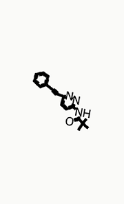 CC(C)(C)C(=O)Nc1ccc(C#Cc2ccccc2)nn1